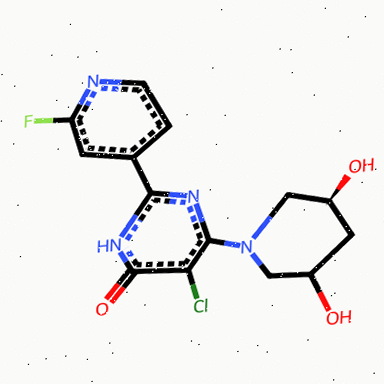 O=c1[nH]c(-c2ccnc(F)c2)nc(N2CC(O)C[C@H](O)C2)c1Cl